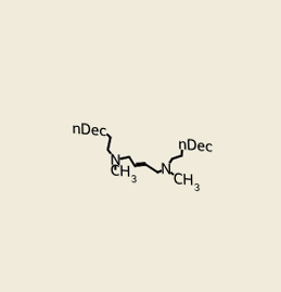 CCCCCCCCCCCCN(C)CC=CCN(C)CCCCCCCCCCCC